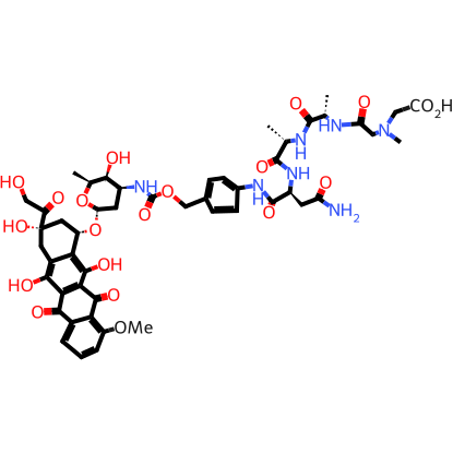 COc1cccc2c1C(=O)c1c(O)c3c(c(O)c1C2=O)C[C@@](O)(C(=O)CO)C[C@@H]3O[C@H]1C[C@H](NC(=O)OCc2ccc(NC(=O)[C@H](CC(N)=O)NC(=O)[C@H](C)NC(=O)[C@H](C)NC(=O)CN(C)CC(=O)O)cc2)[C@H](O)[C@H](C)O1